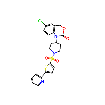 O=C1OCc2cc(Cl)ccc2N1C1CCN(S(=O)(=O)c2ccc(-c3ccccn3)s2)CC1